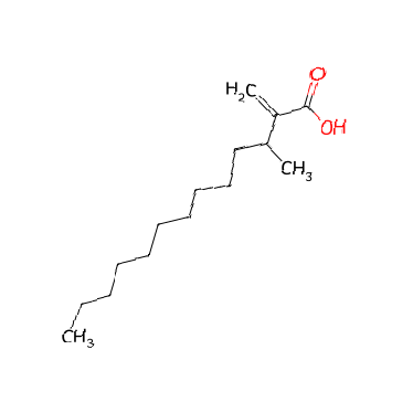 C=C(C(=O)O)C(C)CCCCCCCCCC